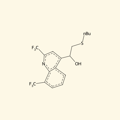 CCCCSCC(O)c1cc(C(F)(F)F)nc2c(C(F)(F)F)cccc12